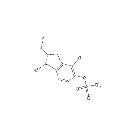 O=S(=O)(Oc1ccc2c(c1Cl)CC(CF)N2S)C(F)(F)F